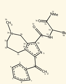 C=C(c1ccccc1)c1nc(C(=O)NC(C(=O)NC)C(C)(C)C)c2n1CCCN(C)C2